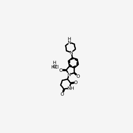 Cl.Cl.O=C1CCC(N2C(=O)c3ccc(N4CCNCC4)cc3C2=O)C(=O)N1